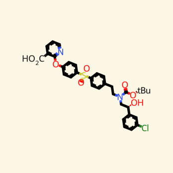 CC(C)(C)OC(=O)N(CCc1ccc(S(=O)(=O)c2ccc(Oc3ncccc3C(=O)O)cc2)cc1)C[C@H](O)c1cccc(Cl)c1